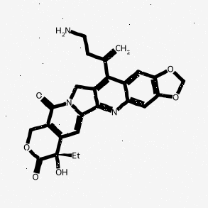 C=C(CCN)c1c2c(nc3cc4c(cc13)OCO4)-c1cc3c(c(=O)n1C2)COC(=O)[C@]3(O)CC